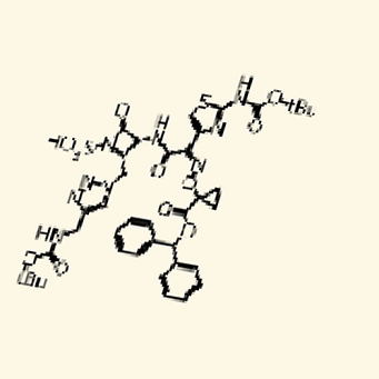 CC(C)(C)OC(=O)NCc1cn(C[C@@H]2[C@H](NC(=O)/C(=N\OC3(C(=O)OC(c4ccccc4)c4ccccc4)CC3)c3csc(NC(=O)OC(C)(C)C)n3)C(=O)N2S(=O)(=O)O)nn1